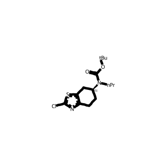 CCCN(C(=O)OC(C)(C)C)[C@H]1CCc2nc(Cl)sc2C1